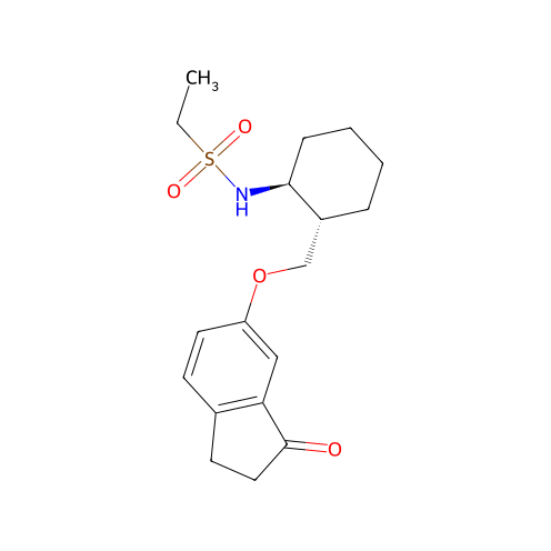 CCS(=O)(=O)N[C@H]1CCCC[C@@H]1COc1ccc2c(c1)C(=O)CC2